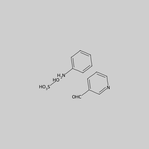 Nc1ccccc1.O=Cc1cccnc1.O=S(=O)(O)O